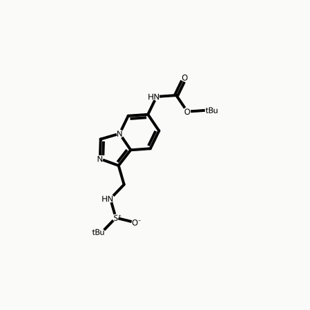 CC(C)(C)OC(=O)Nc1ccc2c(CN[S+]([O-])C(C)(C)C)ncn2c1